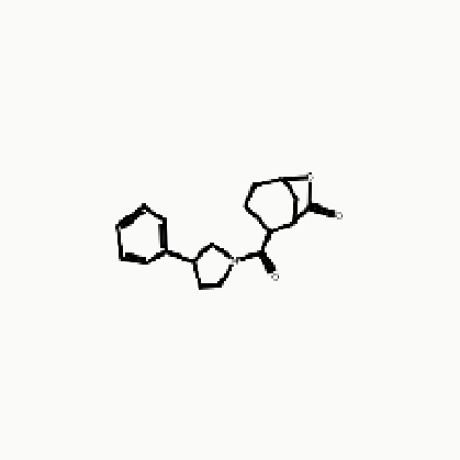 O=C1OC2CCC(C(=O)N3CCC(c4ccccc4)C3)C1C2